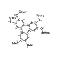 CCCCCCOc1cc2c3cc(OC)c(OC)cc3c3cc(OCCCCCC)c(OCCCCCC)cc3c2cc1OCCCCCC